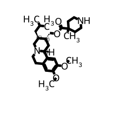 COc1cc2c(cc1OC)[C@H]1C[C@@H](COC(=O)C3(C)CCNCC3)[C@H](CC(C)C)CN1CC2